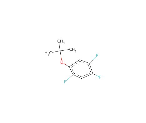 CC(C)(C)Oc1cc(F)c(F)cc1F